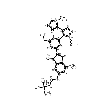 CCNc1cc(-c2c(-c3nncn3C)cnn2C)cc(N2Cc3c(cc(COCC(C)(C)F)cc3C(F)(F)F)C2=O)n1